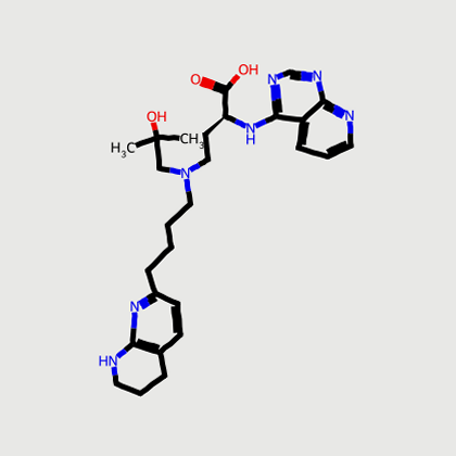 CC(C)(O)CN(CCCCc1ccc2c(n1)NCCC2)CC[C@H](Nc1ncnc2ncccc12)C(=O)O